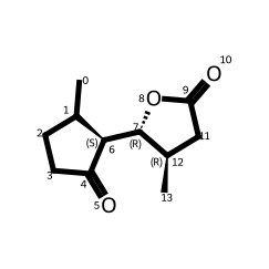 CC1CCC(=O)[C@@H]1[C@@H]1OC(=O)C[C@H]1C